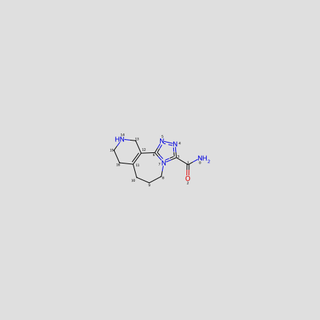 NC(=O)c1nnc2n1CCCC1=C2CNCC1